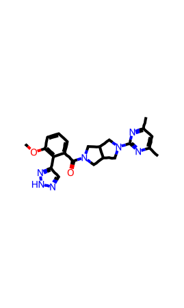 COc1cccc(C(=O)N2CC3CN(c4nc(C)cc(C)n4)CC3C2)c1-c1cn[nH]n1